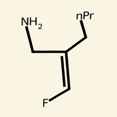 CCCC/C(=C/F)CN